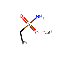 CC(C)CS(N)(=O)=O.[NaH]